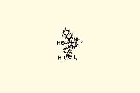 C#Cc1c(-c2cnc3ccccc3c2)c2c(N)ncnc2n1C12CCC(N(C)C)(CC1)C2